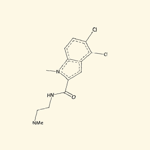 CNCCNC(=O)c1cc2c(Cl)c(Cl)ccc2n1C